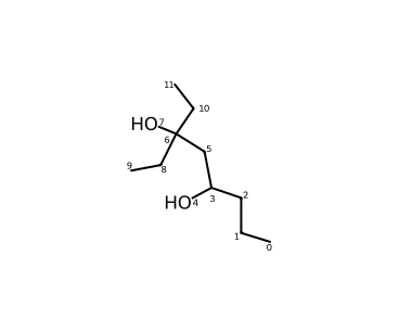 CCCC(O)CC(O)(CC)CC